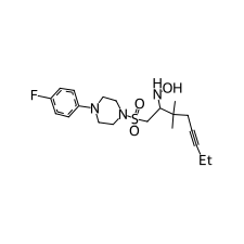 CCC#CCC(C)(C)C(CS(=O)(=O)N1CCN(c2ccc(F)cc2)CC1)NO